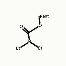 CCCCCOC(=O)N(CC)CC